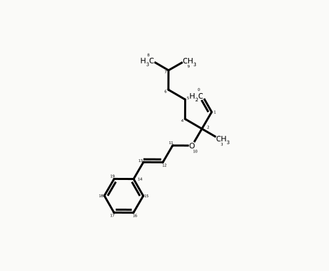 C=CC(C)(CCCC(C)C)OCC=Cc1ccccc1